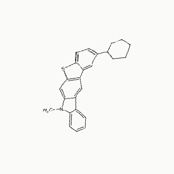 Cn1c2ccccc2c2cc3c(cc21)sc1ccc(C2CCCCC2)cc13